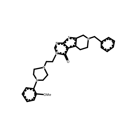 COc1ccccc1N1CCN(CCn2cnc3sc4c(c3c2=O)CCN(Cc2ccccc2)C4)CC1